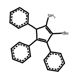 CC(C)(C)C1=C([SiH3])C(c2ccccc2)C(c2ccccc2)=C1c1ccccc1